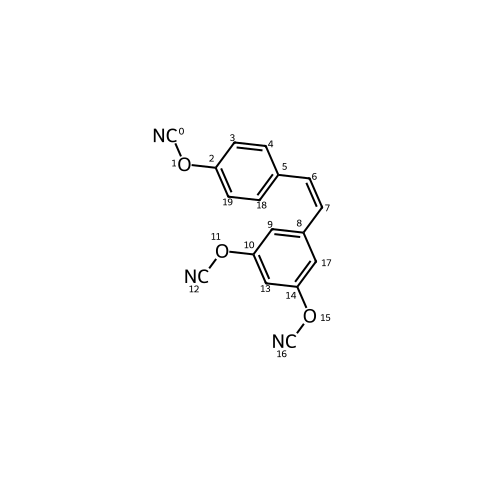 N#COc1ccc(/C=C\c2cc(OC#N)cc(OC#N)c2)cc1